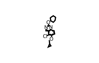 Clc1c(OCC2CC2)ccc2nc(OC3CCCCC3)ncc12